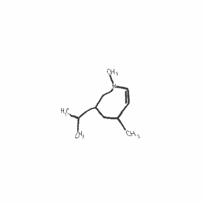 CC1C=CN(C)CC(C(C)C)C1